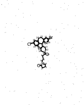 O=C1CCCN1CCCC(=O)N1CCC(C2c3ncc(Br)cc3CCc3cc(Cl)cc(Br)c32)CC1